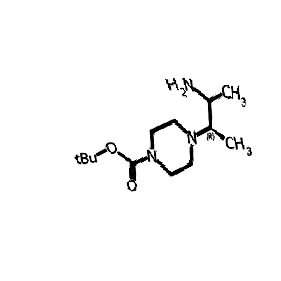 CC(N)[C@@H](C)N1CCN(C(=O)OC(C)(C)C)CC1